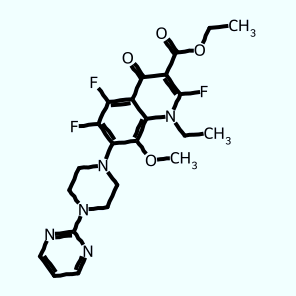 CCOC(=O)c1c(F)n(CC)c2c(OC)c(N3CCN(c4ncccn4)CC3)c(F)c(F)c2c1=O